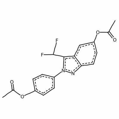 CC(=O)Oc1ccc(-n2nc3ccc(OC(C)=O)cc3c2C(F)F)cc1